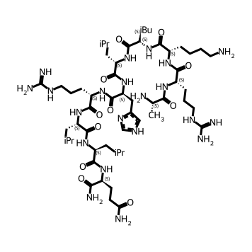 CC[C@H](C)[C@H](NC(=O)[C@H](CCCCN)NC(=O)[C@H](CCCNC(=N)N)NC(=O)[C@H](C)N)C(=O)N[C@@H](CC(C)C)C(=O)N[C@@H](Cc1c[nH]cn1)C(=O)N[C@@H](CCCNC(=N)N)C(=O)N[C@@H](CC(C)C)C(=O)N[C@@H](CC(C)C)C(=O)N[C@@H](CCC(N)=O)C(N)=O